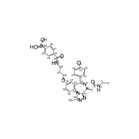 CCNC(=O)C[C@@H]1N=C(c2ccc(Cl)cc2)c2cc(OCCCNC(=O)c3ccc(B(O)O)cc3)ccc2-n2c(C)nnc21